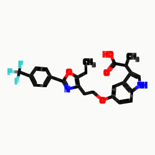 CCc1oc(-c2ccc(C(F)(F)F)cc2)nc1CCOc1ccc2[nH]cc(C(C)C(=O)O)c2c1